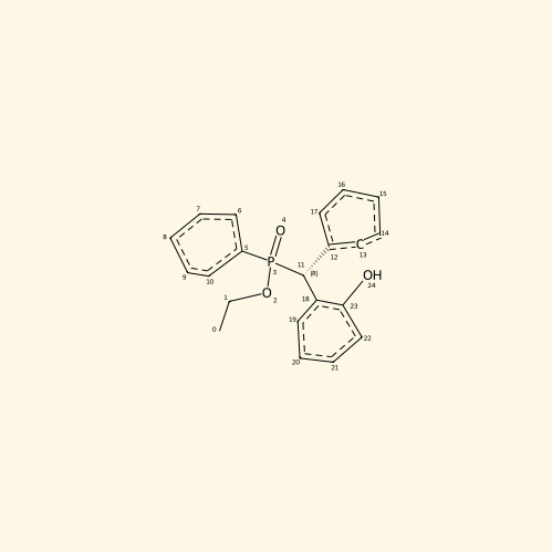 CCOP(=O)(c1ccccc1)[C@H](c1ccccc1)c1ccccc1O